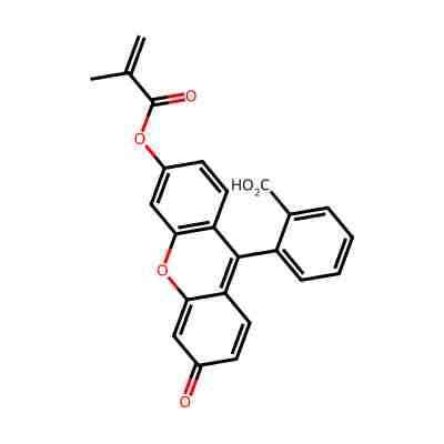 C=C(C)C(=O)Oc1ccc2c(-c3ccccc3C(=O)O)c3ccc(=O)cc-3oc2c1